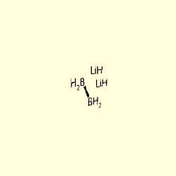 BB.[LiH].[LiH]